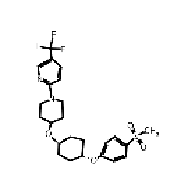 CS(=O)(=O)c1ccc(O[C@H]2CC[C@H](OC3CCN(c4ccc(C(F)(F)F)cn4)CC3)CC2)cc1